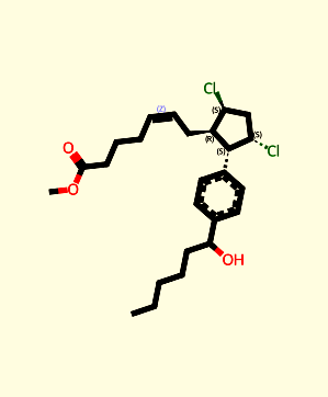 CCCCCC(O)c1ccc([C@@H]2[C@@H](C/C=C\CCCC(=O)OC)[C@@H](Cl)C[C@@H]2Cl)cc1